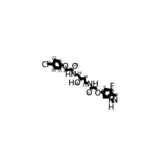 O=C(COc1cc(F)c2cn[nH]c2c1)NCC[C@H](O)CNC(=O)COc1ccc(Cl)cc1